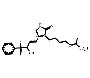 CC(OCCCCN1C(=O)NC[C@@H]1/C=C/C(O)C(F)(F)c1ccccc1)C(=O)O